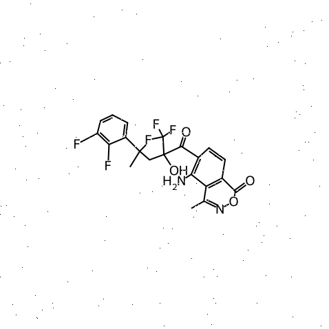 Cc1noc(=O)c2ccc(C(=O)C(O)(CC(C)(C)c3cccc(F)c3F)C(F)(F)F)c(N)c12